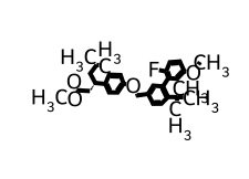 COC(=O)C[C@H](CC(C)C)c1ccc(OCc2ccc(C(C)(C)C)c(-c3cc(OC)ccc3F)c2)cc1